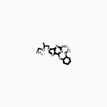 CCOc1ccccc1Sc1nc(N)nc2c1ncn2CC(C)OCP